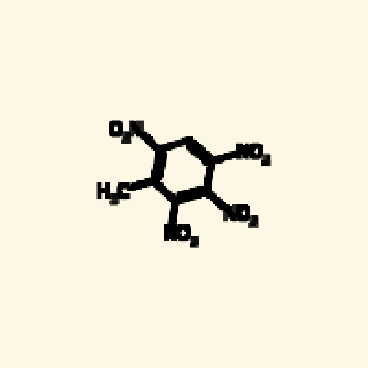 Cc1c([N+](=O)[O-])cc([N+](=O)[O-])c([N+](=O)[O-])c1[N+](=O)[O-]